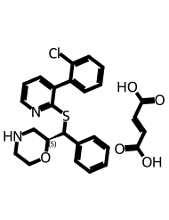 Clc1ccccc1-c1cccnc1SC(c1ccccc1)[C@@H]1CNCCO1.O=C(O)C=CC(=O)O